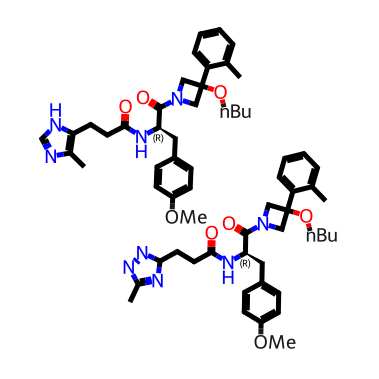 CCCCOC1(c2ccccc2C)CN(C(=O)[C@@H](Cc2ccc(OC)cc2)NC(=O)CCC2N=NC(C)=N2)C1.CCCCOC1(c2ccccc2C)CN(C(=O)[C@@H](Cc2ccc(OC)cc2)NC(=O)CCc2[nH]cnc2C)C1